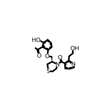 CC(=O)c1c(O)cccc1OC[C@@H]1CSCCN1C(=O)c1cccnc1CCO